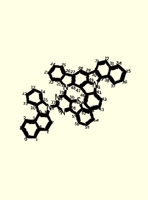 c1ccc2c(c1)ccc1c2c2ccccc2n1-c1nc(-n2c3ccccc3c3cc4c5ccc6ccccc6c5n5c6ccccc6c(c32)c45)c2sc3ccccc3c2n1